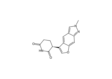 Cn1cc2cc3c([C@@H]4CCC(=O)NC4=O)coc3cc2n1